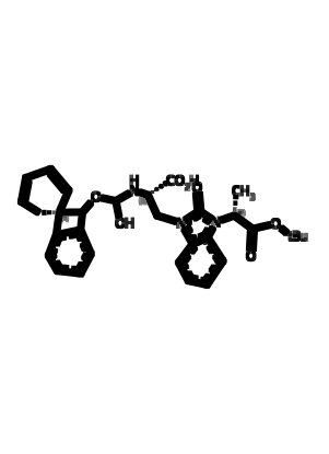 C[C@H](C(=O)OC(C)(C)C)n1c(=O)n(C[C@H](NC(O)OC2c3ccccc3[C@@]23C=CC=CC3)C(=O)O)c2ccccc21